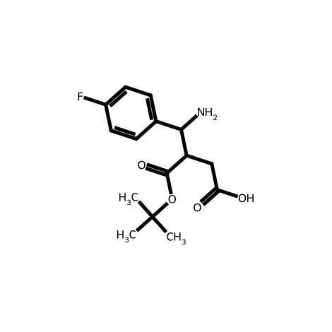 CC(C)(C)OC(=O)C(CC(=O)O)C(N)c1ccc(F)cc1